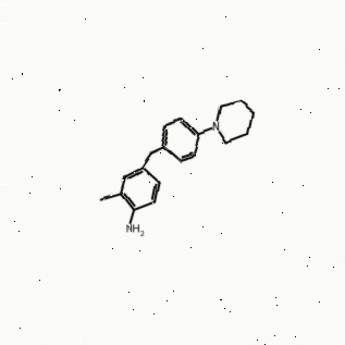 Cc1cc(Cc2ccc(N3CCCCC3)cc2)ccc1N